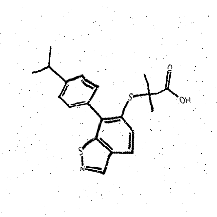 CC(C)c1ccc(-c2c(SC(C)(C)C(=O)O)ccc3cnsc23)cc1